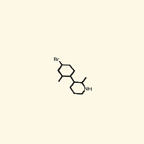 CC1CC(Br)CCC1C1CCCNC1C